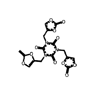 C=C1OC=C(Cn2c(=O)n(Cc3coc(=O)o3)c(=O)n(Cc3coc(=O)o3)c2=O)O1